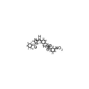 Cc1ccccc1C(=O)c1cnc(Nc2ccc(CNS(=O)(=O)c3cccc([N+](=O)[O-])c3)cc2)s1